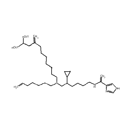 C=CCCCCCN(CCCCCCCC(=C)CC(CCCCCCCC)CCCCCCCC)CC(CCCCNC(=C)c1c[nH]cn1)C1CC1